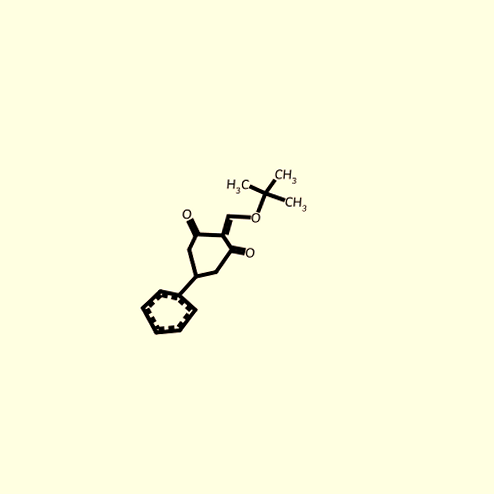 CC(C)(C)OC=C1C(=O)CC(c2ccccc2)CC1=O